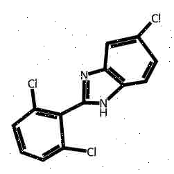 Clc1ccc2[nH]c(-c3c(Cl)cccc3Cl)nc2c1